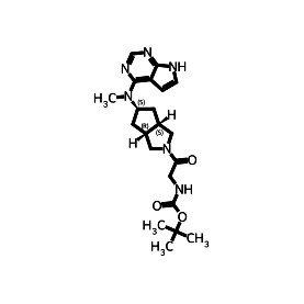 CN(c1ncnc2[nH]ccc12)[C@H]1C[C@@H]2CN(C(=O)CNC(=O)OC(C)(C)C)C[C@@H]2C1